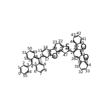 c1ccc(-c2c3ccccc3c(-c3ccc4c(c3)oc3c5c(ccc34)SC(c3cc4c6ccccc6oc4c4oc6ccccc6c34)C5)c3ccccc23)cc1